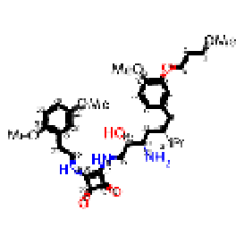 COCCCOc1cc(C[C@@H](C[C@H](N)[C@@H](O)CNc2c(NCCc3cc(OC)ccc3OC)c(=O)c2=O)C(C)C)ccc1OC